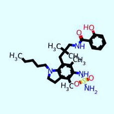 CCCCCN1CCc2c(C)c(NS(N)(=O)=O)c(C)c(CC(C)(C)CNC(=O)c3ccccc3O)c21